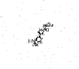 CC(C)(C)OC(=O)N1CC=C(c2ccc3nc[nH]c3c2)C1